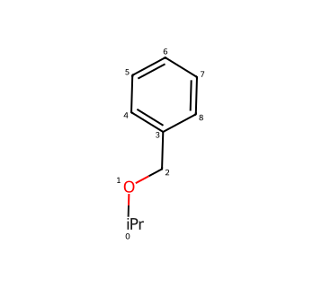 [CH2]C(C)OCc1ccccc1